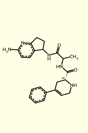 CC(NC(=O)[C@H]1CC(c2ccccc2)=CCN1)C(=O)NC1CCc2nc(N)ccc21